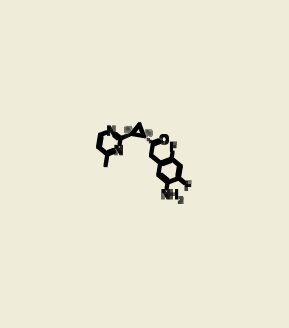 Cc1ccnc([C@H]2C[C@@H]2C(=O)Cc2cc(N)c(F)cc2F)n1